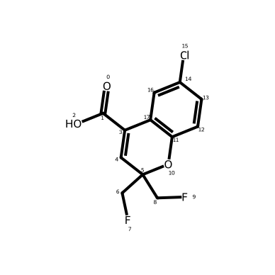 O=C(O)C1=CC(CF)(CF)Oc2ccc(Cl)cc21